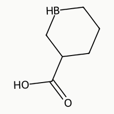 O=C(O)C1CBCCC1